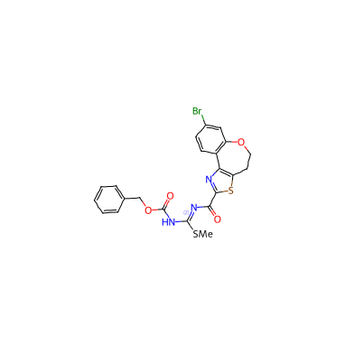 CS/C(=N\C(=O)c1nc2c(s1)CCOc1cc(Br)ccc1-2)NC(=O)OCc1ccccc1